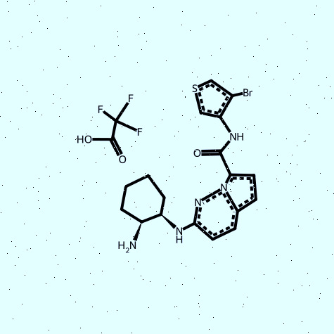 N[C@H]1CCCC[C@H]1Nc1ccc2ccc(C(=O)Nc3cscc3Br)n2n1.O=C(O)C(F)(F)F